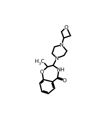 CC1Oc2ccccc2C(=O)NC1N1CCN(C2COC2)CC1